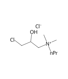 CCC[N+](C)(C)CC(O)CCl.[Cl-]